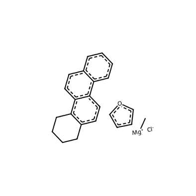 [CH3][Mg+].[Cl-].c1ccc2c(c1)ccc1c3c(ccc12)CCCC3.c1ccoc1